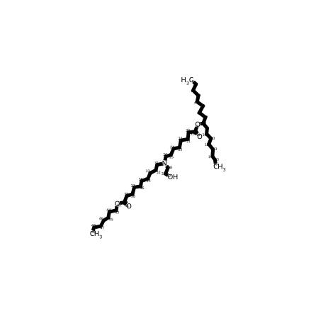 CCCCCCCCC(CCCCCCCC)OC(=O)CCCCCCCN(CCO)CCCCCCCCCC(=O)OCCCCCCC